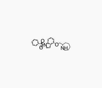 O=S(=O)(c1ccccc1)n1ccc2c(OCC3CCCCCN3)cccc21